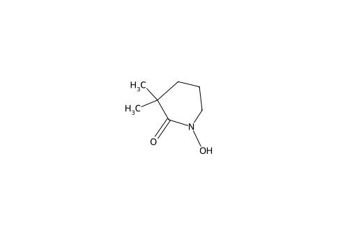 CC1(C)CCCN(O)C1=O